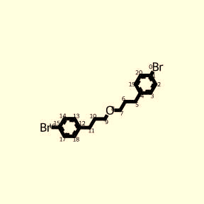 Brc1ccc(CCCOCCCc2ccc(Br)cc2)cc1